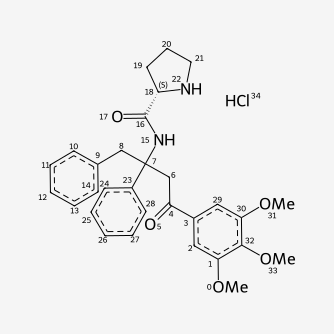 COc1cc(C(=O)CC(Cc2ccccc2)(NC(=O)[C@@H]2CCCN2)c2ccccc2)cc(OC)c1OC.Cl